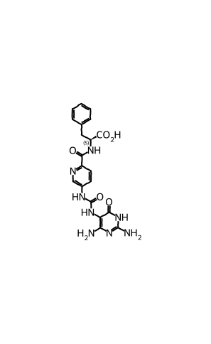 Nc1nc(N)c(NC(=O)Nc2ccc(C(=O)N[C@@H](Cc3ccccc3)C(=O)O)nc2)c(=O)[nH]1